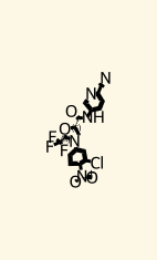 N#Cc1ccc(NC(=O)[C@@H]2CN(c3ccc([N+](=O)[O-])c(Cl)c3)[C@@H](C(F)(F)F)O2)cn1